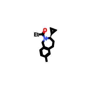 CCC(=O)N1Cc2ccc(C)cc2CC[C@H]1C1CC1